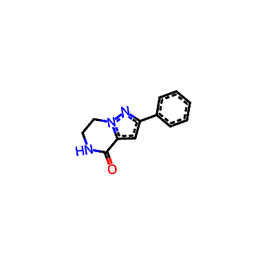 O=C1NCCn2nc(-c3ccccc3)cc21